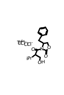 CC(C)C(CO)C(=O)N1C(=O)OCC1Cc1ccccc1.[Cl-].[Cl-].[Cl-].[Cl-].[Ti+4]